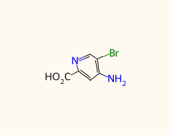 Nc1cc(C(=O)O)ncc1Br